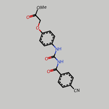 COC(=O)COc1ccc(NC(=O)NC(=O)c2ccc(C#N)cc2)cc1